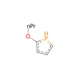 CCCOc1ccc[pH]1